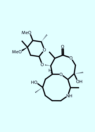 COC1[C@H](C)OC(O[C@@H]2C(C)C(=O)OC[C@@](C)(O)C3O[C@@H]2C[C@](C)(O)CCCNC3C)C[C@@]1(C)OC